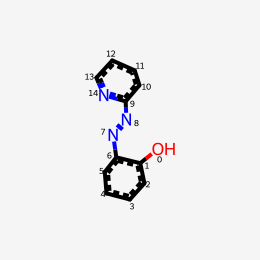 Oc1ccccc1/N=N/c1ccccn1